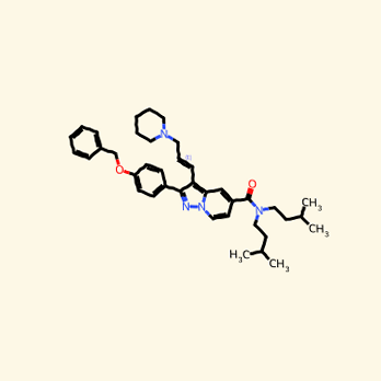 CC(C)CCN(CCC(C)C)C(=O)c1ccn2nc(-c3ccc(OCc4ccccc4)cc3)c(/C=C/CN3CCCCC3)c2c1